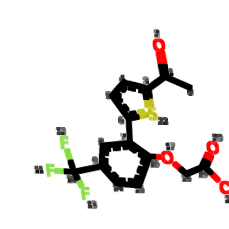 CC(=O)c1ccc(-c2cc(C(F)(F)F)ccc2OCC(=O)O)s1